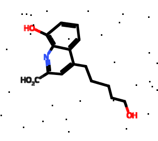 O=C(O)c1cc(CCCCCO)c2cccc(O)c2n1